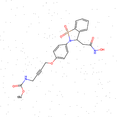 CC(C)(C)OC(=O)NCC#CCOc1ccc(N2C(CC(=O)NO)c3ccccc3S2(=O)=O)cc1